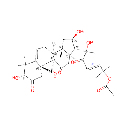 CC(=O)OC(C)(C)/C=C/C(=O)C(C)(O)[C@H]1[C@H](O)C[C@@]2(C)[C@@H]3CC=C4[C@@H](CC(=O)[C@H](O)C4(C)C)[C@]3(CO)C(=O)C[C@]12C